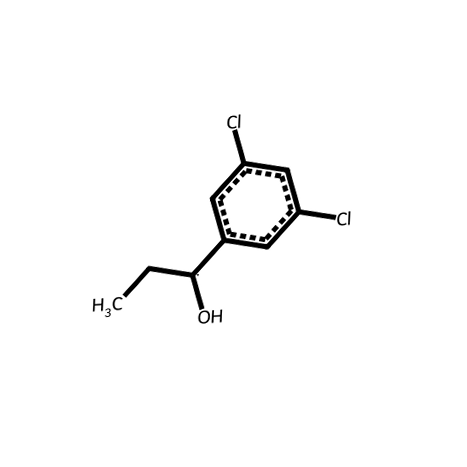 CC[C](O)c1cc(Cl)cc(Cl)c1